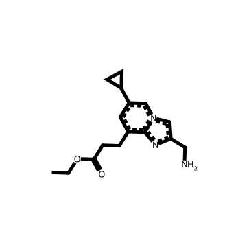 CCOC(=O)CCc1cc(C2CC2)cn2cc(CN)nc12